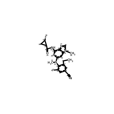 CCc1cc(C#N)cc(F)c1N(C)c1cc2c(ncn2C)c(NC(=O)C2CC2F)n1